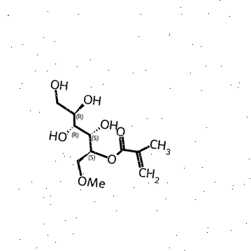 C=C(C)C(=O)O[C@@H](COC)[C@@H](O)[C@H](O)[C@H](O)CO